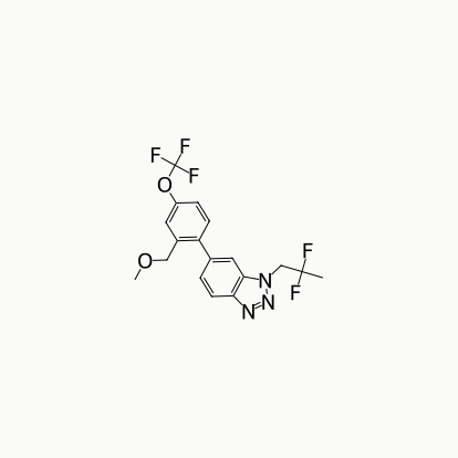 COCc1cc(OC(F)(F)F)ccc1-c1ccc2nnn(CC(C)(F)F)c2c1